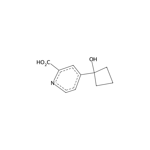 O=C(O)c1cc(C2(O)CCC2)ccn1